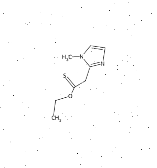 CCOC(=S)Cc1nccn1C